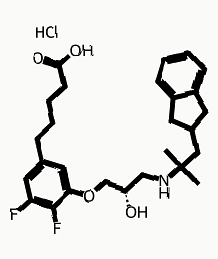 CC(C)(CC1Cc2ccccc2C1)NC[C@H](O)COc1cc(CCCCC(=O)O)cc(F)c1F.Cl